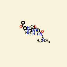 Cc1[nH]c(C(=O)N2CCC(C(=O)NCCCN(C)C)CC2)c(C)c1-c1nc2cc(C(=O)c3ccccc3)ccc2[nH]1